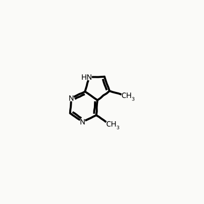 Cc1c[nH]c2ncnc(C)c12